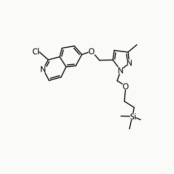 Cc1cc(COc2ccc3c(Cl)nccc3c2)n(COCC[Si](C)(C)C)n1